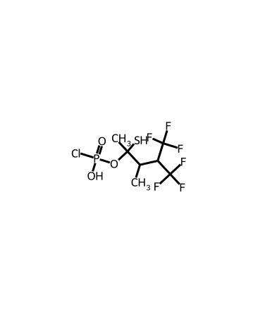 CC(C(C(F)(F)F)C(F)(F)F)C(C)(S)OP(=O)(O)Cl